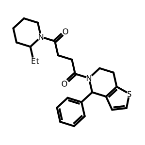 CCC1CCCCN1C(=O)CCC(=O)N1CCc2sccc2C1c1ccccc1